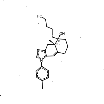 Cc1ccc(-n2ncc3c2C=C2CCC[C@@](O)(CCCCO)[C@@]2(C)C3)cc1